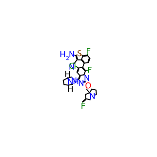 N#Cc1c(N)sc2c(F)ccc(-c3c(Cl)cc4c(N5C[C@H]6CC[C@@H](C5)N6)nc(OCC56CCCN5C/C(=C\F)C6)nc4c3F)c12